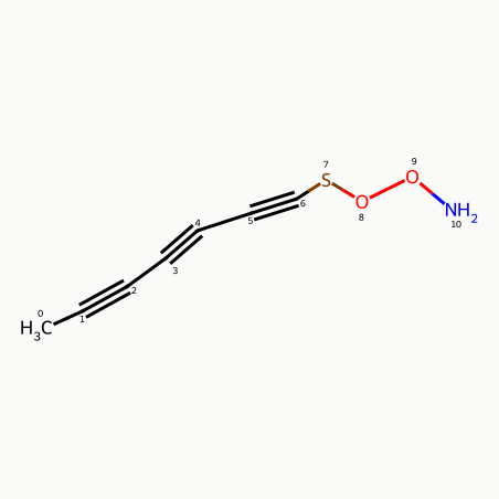 CC#CC#CC#CSOON